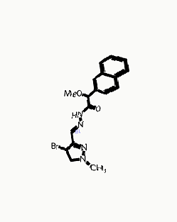 COC(C(=O)N/N=C/C1=NN(C)CC1Br)c1ccc2ccccc2c1